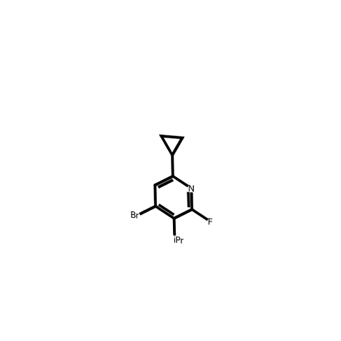 CC(C)c1c(Br)cc(C2CC2)nc1F